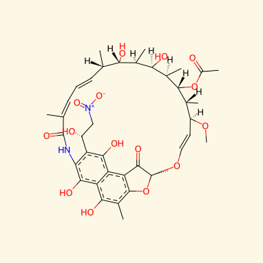 CO[C@H]1/C=C/O[C@@]2(C)Oc3c(C)c(O)c4c(O)c(c([C@H](O)C[N+](=O)[O-])c(O)c4c3C2=O)NC(=O)/C(C)=C\C=C\[C@H](C)[C@H](O)[C@@H](C)[C@@H](O)[C@@H](C)[C@H](OC(C)=O)[C@@H]1C